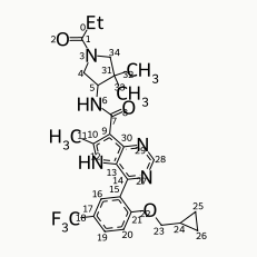 CCC(=O)N1CC(NC(=O)c2c(C)[nH]c3c(-c4cc(C(F)(F)F)ccc4OCC4CC4)ncnc23)C(C)(C)C1